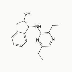 CCc1cnc(CC)c(NC2c3ccccc3CC2O)n1